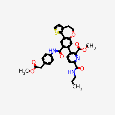 CCCNC(=O)c1ccc(-c2cc3c(cc2C(=O)Nc2ccc(CC(=O)OC)cc2)-c2sccc2CCO3)c(C(=O)OC)n1